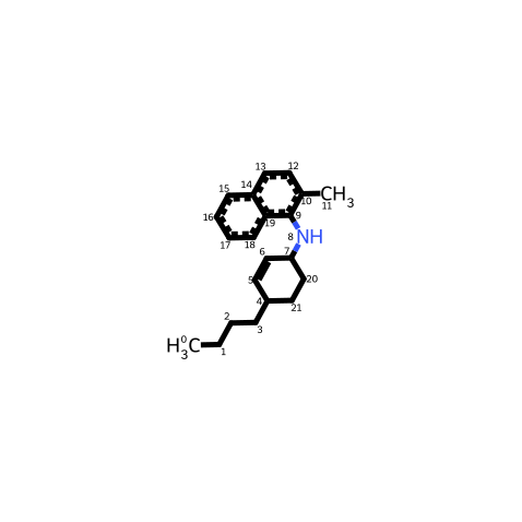 CCCCC1C=CC(Nc2c(C)ccc3ccccc23)CC1